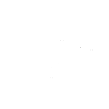 COc1ccccc1N(C=O)C1CCN(C(=O)Cc2ccc(C)cc2)CC1